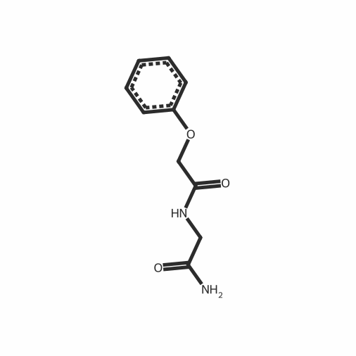 NC(=O)CNC(=O)COc1ccccc1